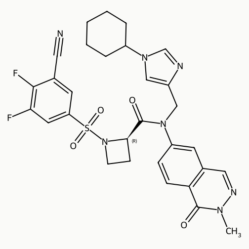 Cn1ncc2cc(N(Cc3cn(C4CCCCC4)cn3)C(=O)[C@H]3CCN3S(=O)(=O)c3cc(F)c(F)c(C#N)c3)ccc2c1=O